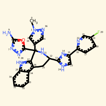 Cn1cc(C2(c3nnc(N)o3)NC(c3nc(-c4ccc(F)cn4)c[nH]3)Cc3c2[nH]c2ccccc32)cn1